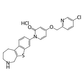 Cl.O=c1cc(OCc2ccc(Cl)cn2)ccn1-c1ccc2c3c(sc2c1)CNCCC3